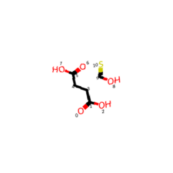 O=C(O)CCC(=O)O.OC=S